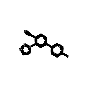 N#Cc1ccc(-c2ccc(F)cc2)cc1-n1ccnn1